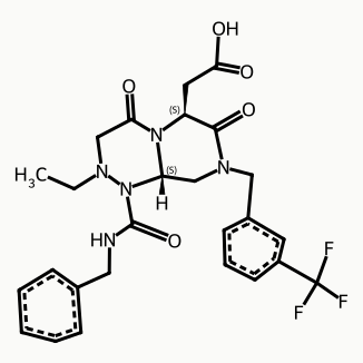 CCN1CC(=O)N2[C@@H](CC(=O)O)C(=O)N(Cc3cccc(C(F)(F)F)c3)C[C@@H]2N1C(=O)NCc1ccccc1